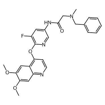 COc1cc2nccc(Oc3ncc(NC(=O)CN(C)Cc4ccccc4)cc3F)c2cc1OC